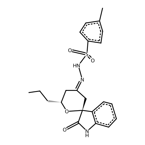 CCC[C@@H]1CC(=NNS(=O)(=O)c2ccc(C)cc2)C[C@]2(O1)C(=O)Nc1ccccc12